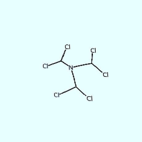 ClC(Cl)N(C(Cl)Cl)C(Cl)Cl